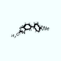 COc1ccc(C2=CC=C3SC(C)=NC3C2)cc1